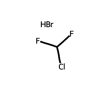 Br.FC(F)Cl